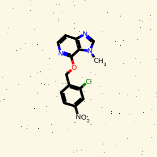 Cn1cnc2ccnc(OCc3ccc([N+](=O)[O-])cc3Cl)c21